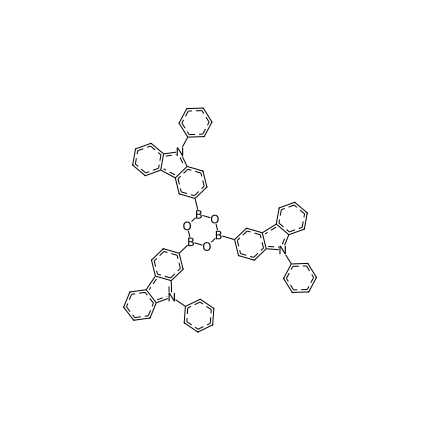 c1ccc(-n2c3ccccc3c3cc(B4OB(c5ccc6c(c5)c5ccccc5n6-c5ccccc5)OB(c5ccc6c7ccccc7n(-c7ccccc7)c6c5)O4)ccc32)cc1